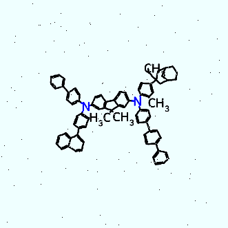 CCC1(c2ccc(N(c3ccc(-c4ccc(-c5ccccc5)cc4)cc3)c3ccc4c(c3)C(C)(C)c3cc(N(c5ccc(-c6ccccc6)cc5)c5ccc(-c6cccc7ccccc67)cc5)ccc3-4)c(C)c2)CC2CCCC(C2)C1